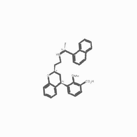 COc1c(C(=O)O)cccc1[C@@H]1C[C@H](CCN[C@H](C)c2cccc3ccccc23)Oc2ccccc21